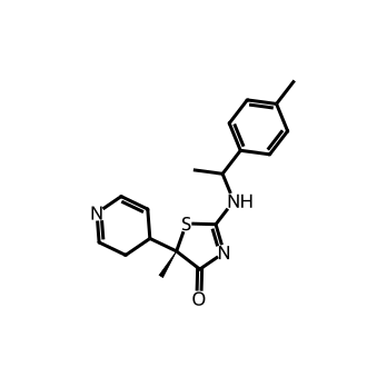 Cc1ccc(C(C)NC2=NC(=O)[C@](C)(C3C=CN=CC3)S2)cc1